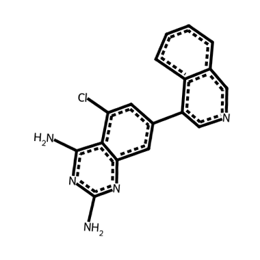 Nc1nc(N)c2c(Cl)cc(-c3cncc4ccccc34)cc2n1